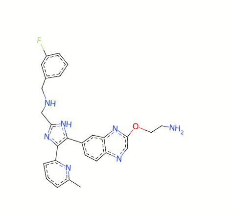 Cc1cccc(-c2nc(CNCc3cccc(F)c3)[nH]c2-c2ccc3ncc(OCCN)nc3c2)n1